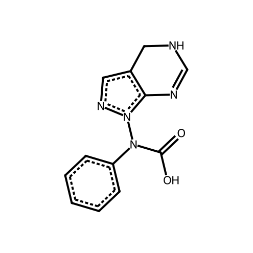 O=C(O)N(c1ccccc1)n1ncc2c1N=CNC2